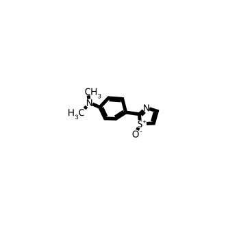 CN(C)c1ccc(-c2ncc[s+]2[O-])cc1